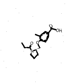 CCC(=O)N1CCC[C@H]1COc1ccc(C(=O)O)cc1C